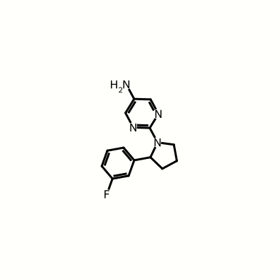 Nc1cnc(N2CCCC2c2cccc(F)c2)nc1